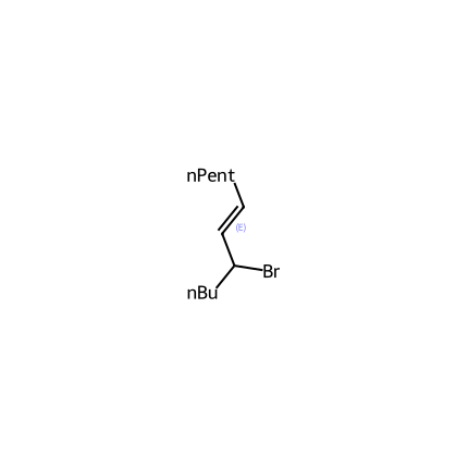 CCCCC/C=C/C(Br)CCCC